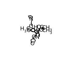 COc1cc2c3c(OC4CCOCC4)nccc3n(C(=O)OC(C)(C)C)c2cc1OCCCN1CCCC1